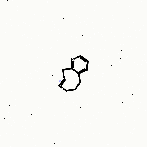 C1=C/Cc2ncccc2CCC/1